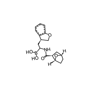 O=C(NC(C[C@@H]1COc2ccccc21)B(O)O)[C@H]1C[C@@H]2CC[C@H]1O2